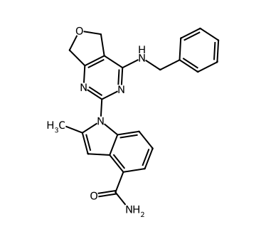 Cc1cc2c(C(N)=O)cccc2n1-c1nc2c(c(NCc3ccccc3)n1)COC2